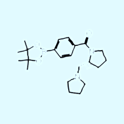 CC1(C)OB(c2ccc(C(=O)N3CCC[C@@H]3CN3CCCC3)cc2)OC1(C)C